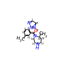 Cc1ccc(-n2nccn2)c(C(=O)N2CCNCCC2C)c1